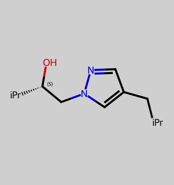 CC(C)Cc1cnn(C[C@@H](O)C(C)C)c1